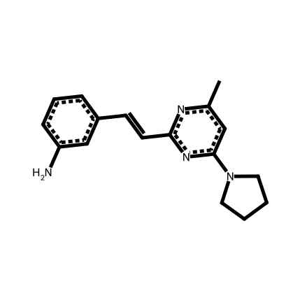 Cc1cc(N2CCCC2)nc(C=Cc2cccc(N)c2)n1